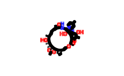 CC[C@H]1/C=C/O[C@@]2(C)Oc3c(C)c(O)c4c(O)c(c5c(nc6cc(C)ccn65)c4c3C2=O)NC(=O)/C(C)=C\C=C\[C@H](C)[C@H](O)[C@@H](C)[C@@H](C)[C@@H](C)[C@H](OC(C)=O)[C@@H]1C